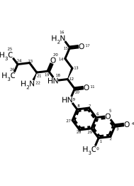 Cc1cc(=O)oc2cc(NC(=O)[C@H](CCC(N)=O)NC(=O)[C@@H](N)CC(C)C)ccc12